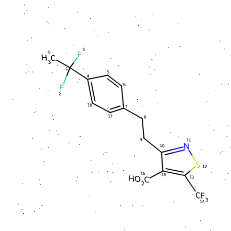 CC(F)(F)c1ccc(CCc2nsc(C(F)(F)F)c2C(=O)O)cc1